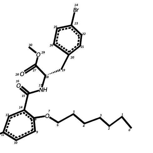 CCCCCCCOc1ccc(Cl)cc1C(=O)N[C@@H](Cc1ccc(Br)cc1)C(=O)OC